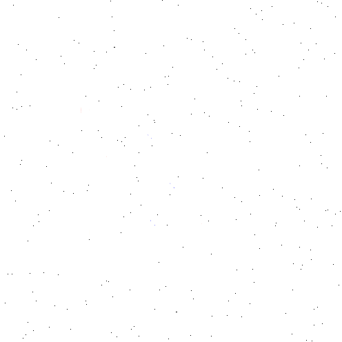 CC(C)CC(N(C)C(=O)C1C(C(=O)O)N(Cc2ccccc2)C(=O)N1Cc1ccccc1)C(O)(c1ccccc1)c1ccccc1